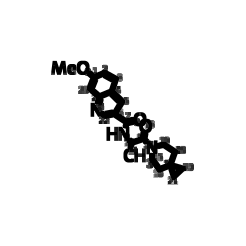 COc1ccc2cc(C(=O)NC(C)C(=O)N3CCC4(CC3)CC4)cnc2c1